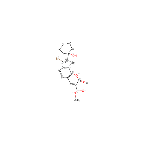 COC(=O)c1cc2ccc3c(Br)c(C4(O)CCCCC4)[se]c3c2oc1=O